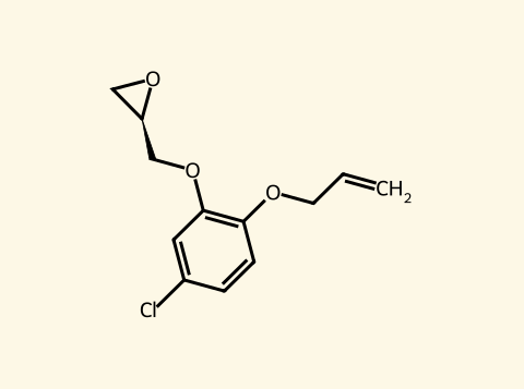 C=CCOc1ccc(Cl)cc1OC[C@H]1CO1